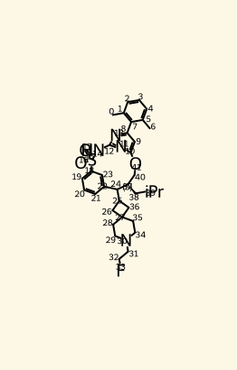 Cc1cccc(C)c1-c1cc2nc(n1)NS(=O)(=O)c1cccc(c1)C(C1CC3(CCN(CCF)CC3)C1)[C@H](CC(C)C)CO2